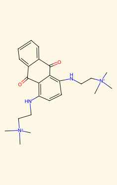 C[N+](C)(C)CCNc1ccc(NCC[N+](C)(C)C)c2c1C(=O)c1ccccc1C2=O